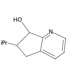 CC(C)C1Cc2cccnc2C1O